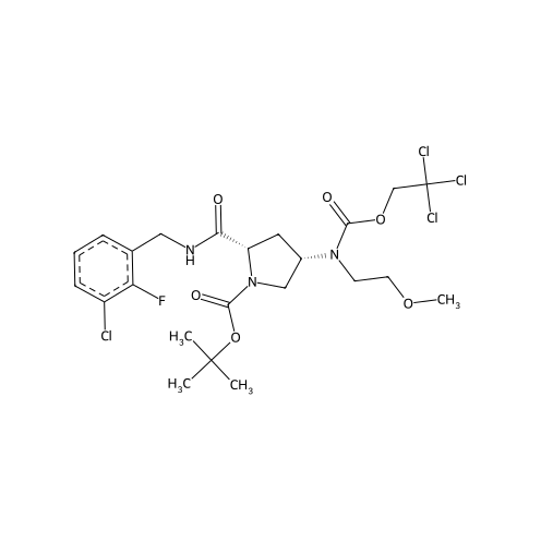 COCCN(C(=O)OCC(Cl)(Cl)Cl)[C@H]1C[C@@H](C(=O)NCc2cccc(Cl)c2F)N(C(=O)OC(C)(C)C)C1